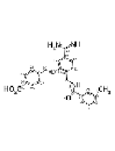 Cc1cccc(C(=O)NCc2ccc(C(=N)N)cc2OCc2ccc(C(=O)O)cc2)c1